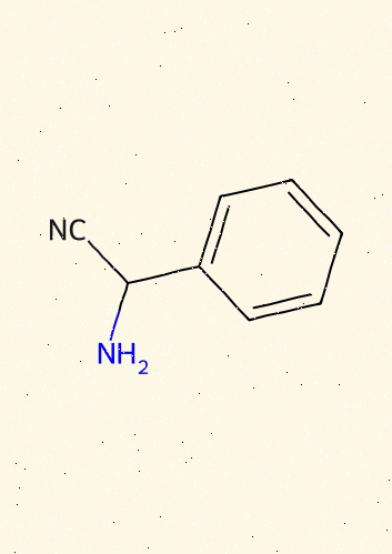 N#CC(N)c1ccccc1